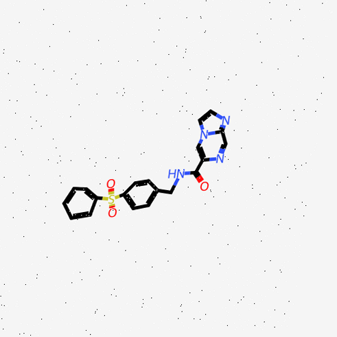 O=C(NCc1ccc(S(=O)(=O)c2ccccc2)cc1)c1cn2ccnc2cn1